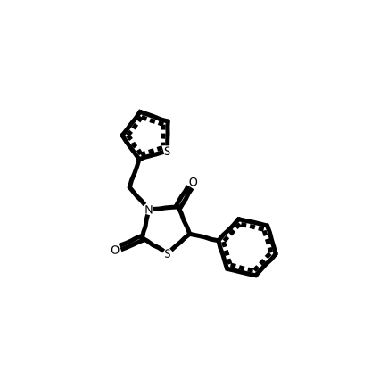 O=C1SC(c2ccccc2)C(=O)N1Cc1cccs1